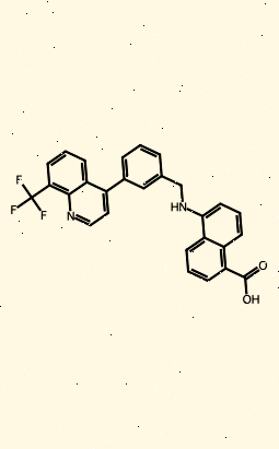 O=C(O)c1cccc2c(NCc3cccc(-c4ccnc5c(C(F)(F)F)cccc45)c3)cccc12